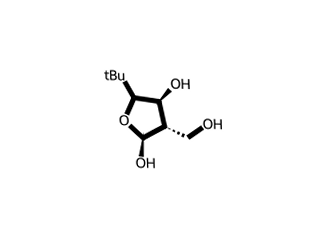 CC(C)(C)C1O[C@H](O)[C@@H](CO)[C@@H]1O